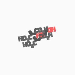 C=C(CC(=O)O)C(=O)O.C=C(CC(=O)O)C(=O)O.OCCO